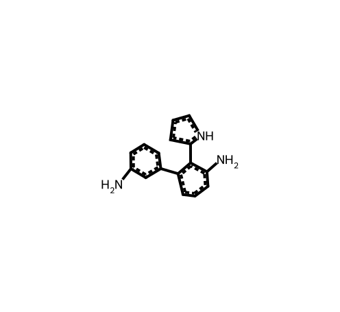 Nc1cccc(-c2cccc(N)c2-c2ccc[nH]2)c1